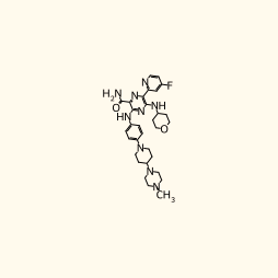 CN1CCN(C2CCN(c3ccc(Nc4nc(NC5CCOCC5)c(-c5cc(F)ccn5)nc4C(N)=O)cc3)CC2)CC1